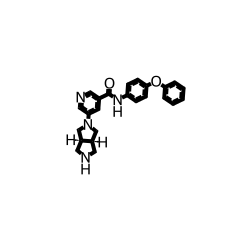 O=C(Nc1ccc(Oc2ccccc2)cc1)c1cncc(N2C[C@H]3CNC[C@H]3C2)c1